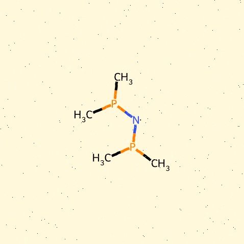 CP(C)[N]P(C)C